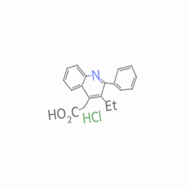 CCc1c(-c2ccccc2)nc2ccccc2c1CC(=O)O.Cl